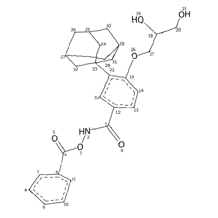 O=C(NOC(=O)c1ccccc1)c1ccc(OCC(O)CO)c(C23CC4CC(CC(C4)C2)C3)c1